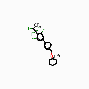 CCCC1(OCc2ccc(-c3cc(F)c(C(F)(F)C(F)C(F)(F)F)c(F)c3)cc2)CCCCC1